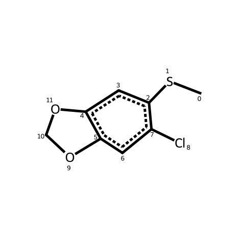 CSc1cc2c(cc1Cl)OCO2